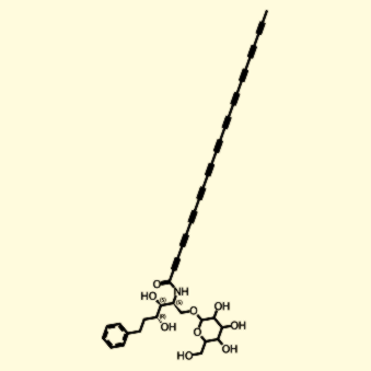 CC#CC#CC#CC#CC#CC#CC#CC#CC#CC#CC#CC(=O)N[C@@H](COC1OC(CO)C(O)C(O)C1O)[C@H](O)[C@H](O)CCc1ccccc1